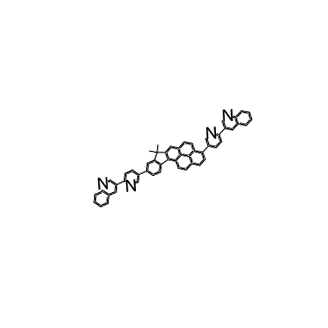 CC1(C)c2cc(-c3ccc(-c4cnc5ccccc5c4)nc3)ccc2-c2c1cc1ccc3c(-c4ccc(-c5cnc6ccccc6c5)nc4)ccc4ccc2c1c43